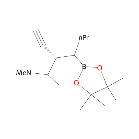 C#C[C@@H](C(C)NC)C(CCC)B1OC(C)(C)C(C)(C)O1